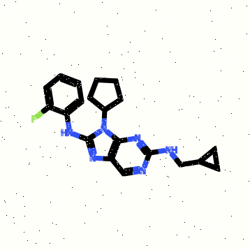 Fc1ccccc1Nc1nc2cnc(NCC3CC3)nc2n1C1CCCC1